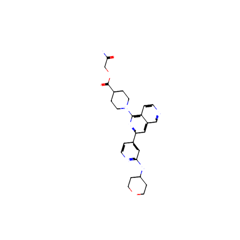 NC(=O)COC(=O)C1CCN(c2nc(-c3ccnc(NC4CCOCC4)c3)cc3cnccc23)CC1